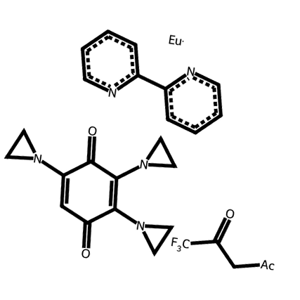 CC(=O)CC(=O)C(F)(F)F.O=C1C=C(N2CC2)C(=O)C(N2CC2)=C1N1CC1.[Eu].c1ccc(-c2ccccn2)nc1